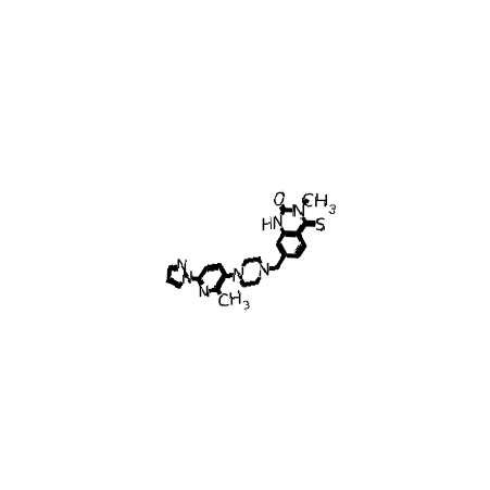 Cc1nc(-n2cccn2)ccc1N1CCN(Cc2ccc3c(=S)n(C)c(=O)[nH]c3c2)CC1